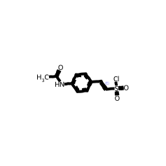 CC(=O)Nc1ccc(/C=C/S(=O)(=O)Cl)cc1